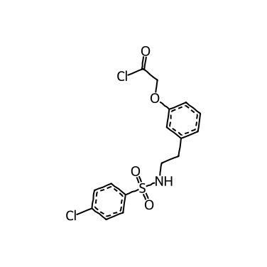 O=C(Cl)COc1cccc(CCNS(=O)(=O)c2ccc(Cl)cc2)c1